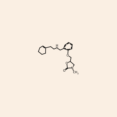 CN1CC(COc2ccccc2CNCCC2=CCCCC2)OC1=O